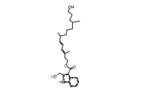 C/C(=C\C=C\C(C)CCCC(C)CCCO)CCOC(=O)c1c(CO)[nH]c2ccccc12